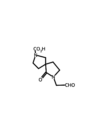 O=CCN1CCC2(CCN(C(=O)O)C2)C1=O